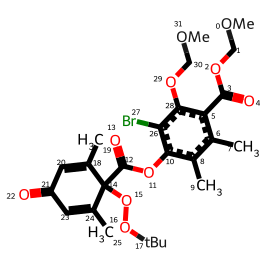 COCOC(=O)c1c(C)c(C)c(OC(=O)C2(OOC(C)(C)C)C(C)=CC(=O)C=C2C)c(Br)c1OCOC